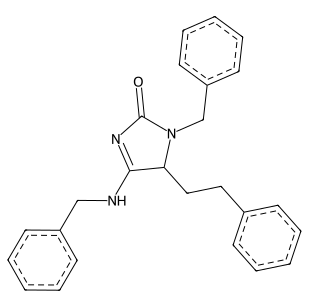 O=C1N=C(NCc2ccccc2)C(CCc2ccccc2)N1Cc1ccccc1